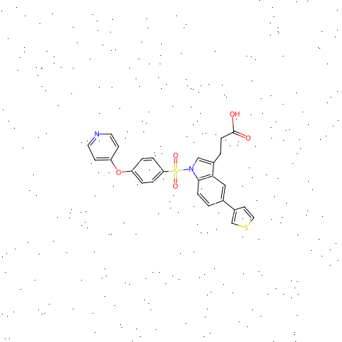 O=C(O)CCc1cn(S(=O)(=O)c2ccc(Oc3ccncc3)cc2)c2ccc(-c3ccsc3)cc12